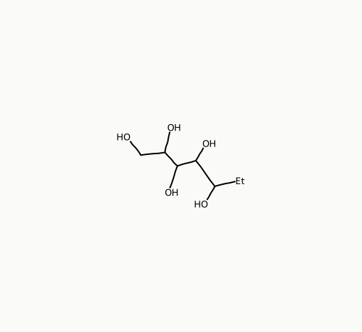 CCC(O)C(O)C(O)C(O)CO